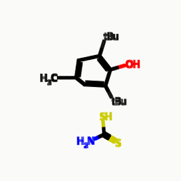 Cc1cc(C(C)(C)C)c(O)c(C(C)(C)C)c1.NC(=S)S